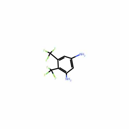 Nc1cc(N)c(C(F)(F)F)c(C(F)(F)F)c1